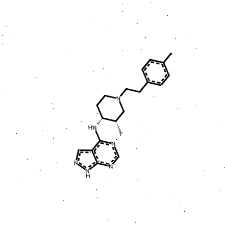 Cc1ccc(CCN2CC[C@@H](Nc3ncnc4[nH]ncc34)[C@@H](F)C2)cc1